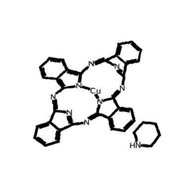 C1CCNCC1.c1ccc2c(c1)C1=NC/2=N\c2c3ccccc3c3[n]2[Cu][n]2/c(c4ccccc4/c2=N/C2=N\C(=N/3)c3ccccc32)=N\1